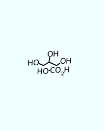 O=C(O)O.OCC(O)CO